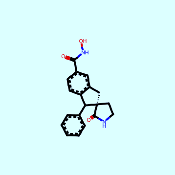 O=C(NO)c1ccc2c(c1)C[C@@]1(CCNC1=O)C2c1ccccc1